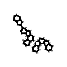 c1ccc2c(c1)CC(c1ccc3c(c1)Cc1cc(-n4c5ccccc5c5c6c(ccc54)Cc4ccccc4-6)c4ccccc4c1-3)C2